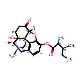 CC[C@H](C)[C@H](N)C(=O)Oc1ccc2c3c1O[C@H]1C(=O)CC[C@@]4(O)[C@@H](C2)N(C)CC[C@]314